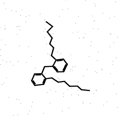 CCCCCCCc1ccccc1Cc1ccccc1CCCCCCC